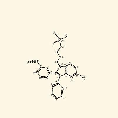 CC(=O)Nc1cc(-c2c(-c3ccccn3)c3nc(Cl)ccc3n2COCC[Si](C)(C)C)ccn1